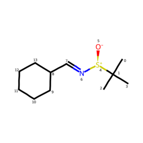 CC(C)(C)[S@+]([O-])N=CC1CCCCC1